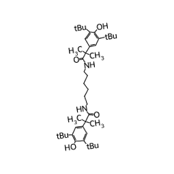 CC(C)(C)c1cc(C(C)(C)C(=O)NCCCCCCNC(=O)C(C)(C)c2cc(C(C)(C)C)c(O)c(C(C)(C)C)c2)cc(C(C)(C)C)c1O